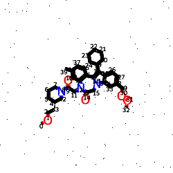 COCC[C@@H]1CCCN(C(=O)CN2C(=O)Cn3c(c(C4CCCCC4)c4ccc(COOC)cc43)-c3ccc(C)cc32)C1